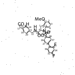 COc1cccc2c1CC(C(=O)NCc1ccc(CC(=O)O)cc1)N2S(=O)(=O)c1ccc(-c2ccc(F)cc2F)cc1